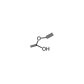 C#COC(=C)O